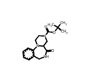 CC(C)(C)OC(=O)N1CCN2c3ccccc3CNC(=O)C2C1